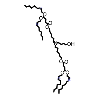 CCCCCC/C=C\COC(CCC(=O)OCCCCCCN(CCCCO)CCCCCCOC(=O)CCC(OC/C=C\CCCCCC)OC/C=C\CCCCCC)OC/C=C\CCCCCC